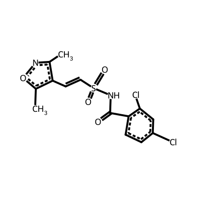 Cc1noc(C)c1C=CS(=O)(=O)NC(=O)c1ccc(Cl)cc1Cl